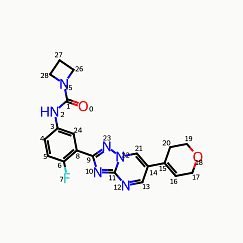 O=C(Nc1ccc(F)c(-c2nc3ncc(C4=CCOCC4)cn3n2)c1)N1CCC1